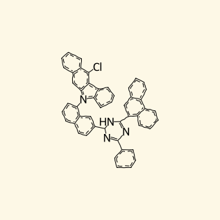 Clc1c2ccccc2cc2c1c1ccccc1n2-c1cccc2ccc(C3N=C(c4ccccc4)N=C(c4cc5ccccc5c5ccccc45)N3)cc12